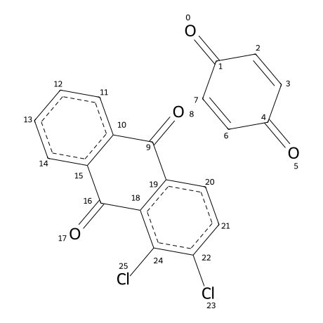 O=C1C=CC(=O)C=C1.O=C1c2ccccc2C(=O)c2c1ccc(Cl)c2Cl